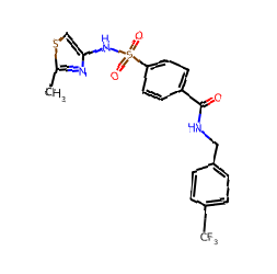 Cc1nc(NS(=O)(=O)c2ccc(C(=O)NCc3ccc(C(F)(F)F)cc3)cc2)cs1